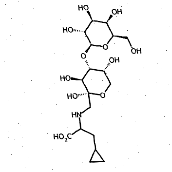 O=C(O)C(CC1CC1)NC[C@]1(O)OC[C@@H](O)[C@@H](O[C@@H]2O[C@H](CO)[C@H](O)[C@H](O)[C@H]2O)[C@@H]1O